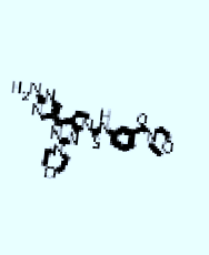 Nc1ncc(-c2nc(N3CCOCC3)nc3c2CCN3C(=S)Nc2cccc(C(=O)N3CCOCC3)c2)cn1